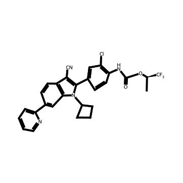 C[C@@H](OC(=O)Nc1ccc(-c2c(C#N)c3ccc(-c4ccccn4)cc3n2C2CCC2)cc1Cl)C(F)(F)F